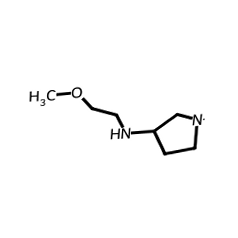 COCCNC1CC[N]C1